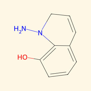 NN1CC=Cc2cccc(O)c21